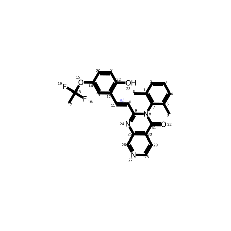 Cc1cccc(C)c1-n1c(/C=C/c2cc(OC(C)(F)F)ccc2O)nc2cnccc2c1=O